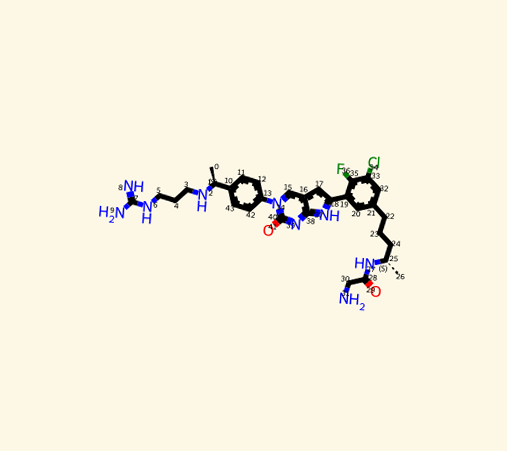 C[C@H](NCCCNC(=N)N)c1ccc(-n2cc3cc(-c4cc(CCC[C@H](C)NC(=O)CN)cc(Cl)c4F)[nH]c3nc2=O)cc1